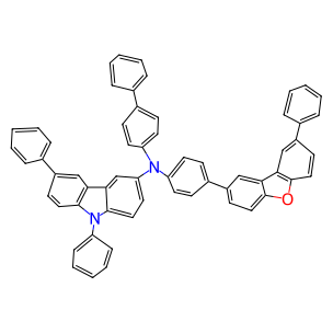 c1ccc(-c2ccc(N(c3ccc(-c4ccc5oc6ccc(-c7ccccc7)cc6c5c4)cc3)c3ccc4c(c3)c3cc(-c5ccccc5)ccc3n4-c3ccccc3)cc2)cc1